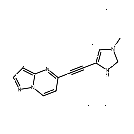 CN1C=C(C#Cc2ccn3nccc3n2)NC1